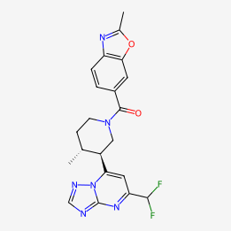 Cc1nc2ccc(C(=O)N3CC[C@@H](C)[C@H](c4cc(C(F)F)nc5ncnn45)C3)cc2o1